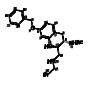 CC(=O)N[C@@H](Cc1ccc(OCc2ccccc2)cc1)[C@H](O)CNCC(C)C